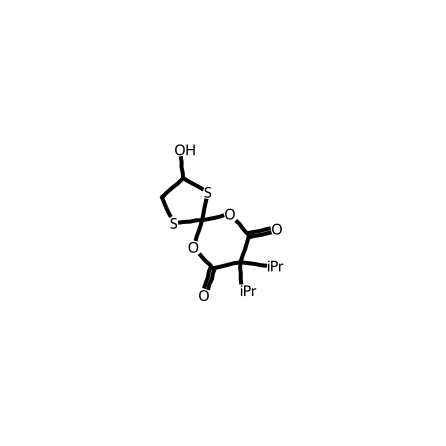 CC(C)C1(C(C)C)C(=O)OC2(OC1=O)SCC(O)S2